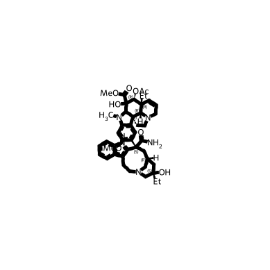 CC[C@]1(O)C[C@@H]2CN(CCc3c([nH]c4ccccc34)[C@@](C(N)=O)(c3cc4c(cc3OC)N(C)C3C(O)(C(=O)OC)[C@H](OC(C)=O)[C@]5(CC)C=CCN6CC[C@]43[C@@H]65)C2)C1